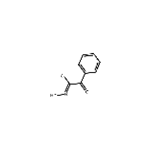 O=C(C(Cl)=NO)c1ccccc1